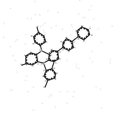 Cc1ccc(N2c3ccc(C)cc3B3c4cc(C)ccc4-c4cc(-c5ccc(-c6ccccc6)cc5)cc2c43)cc1